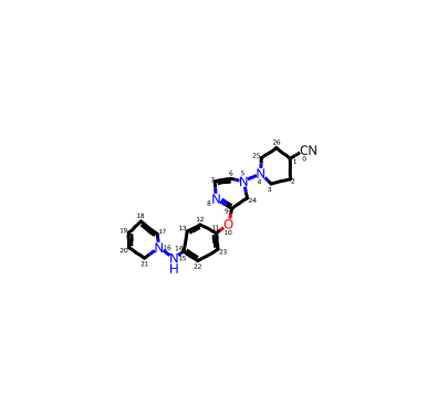 N#CC1CCN(N2C=CN=C(Oc3ccc(NN4C=CC=CC4)cc3)C2)CC1